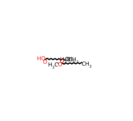 C=C.C=COC(=O)CCCCCCCCCCC.CCCCCCCCCCCC(=O)O